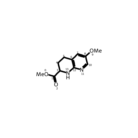 COC(=O)C1CCc2cc(OC)cnc2N1